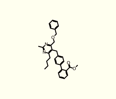 CCCCc1nc(C)nc(COCc2ccccc2)c1Cc1ccc(-c2ccccc2C(=O)OC)cc1